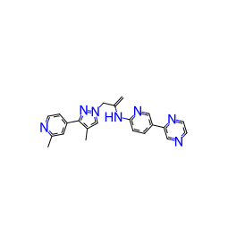 C=C(Cn1cc(C)c(-c2ccnc(C)c2)n1)Nc1ccc(-c2cnccn2)cn1